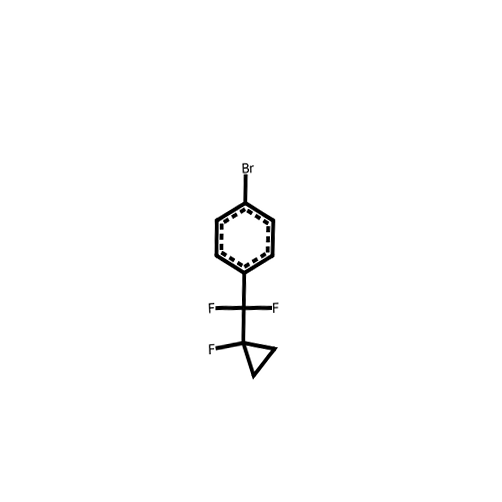 FC1(C(F)(F)c2ccc(Br)cc2)CC1